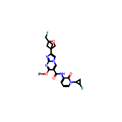 CC(C)Oc1nc2nc(C34COC(CF)(C3)C4)cn2cc1C(=O)Nc1cccn(C2CC2F)c1=O